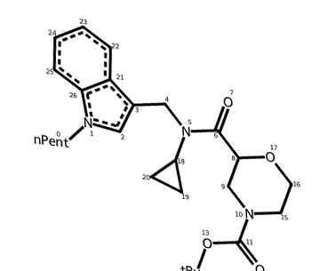 CCCCCn1cc(CN(C(=O)C2CN(C(=O)OC(C)(C)C)CCO2)C2CC2)c2ccccc21